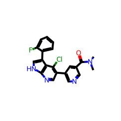 CN(C)C(=O)c1cncc(-c2cnc3[nH]cc(-c4ccccc4F)c3c2Cl)c1